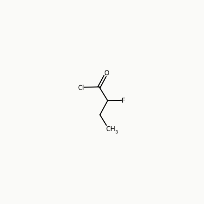 CCC(F)C(=O)Cl